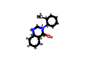 N#Cc1ccccc1-n1cnc2ccccc2c1=O